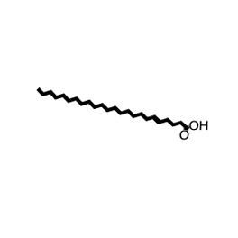 CCCCCCCCCCCCCCCCCC/C=C/CCCC(=O)O